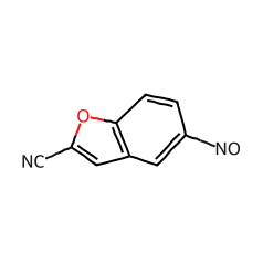 N#Cc1cc2cc(N=O)ccc2o1